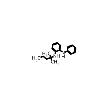 CCCC(C)(C)Nc1ccccc1Nc1ccccc1